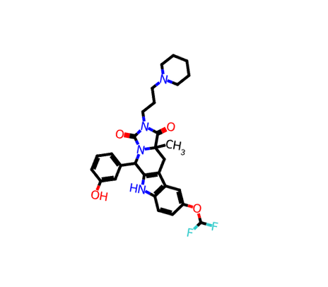 CC12Cc3c([nH]c4ccc(OC(F)F)cc34)C(c3cccc(O)c3)N1C(=O)N(CCCN1CCCCC1)C2=O